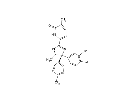 Cc1ccc(C2=N[C@](c3ccc(C(F)(F)F)nc3)(c3ccc(F)c(Br)c3)[C@H](C)N2)[nH]c1=O